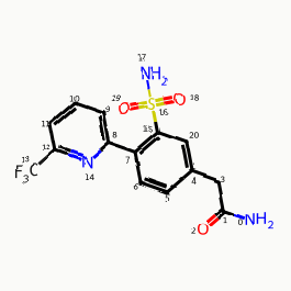 NC(=O)Cc1ccc(-c2cccc(C(F)(F)F)n2)c(S(N)(=O)=O)c1